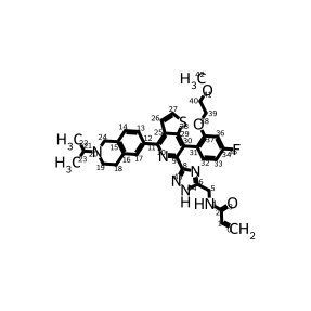 C=CC(=O)NCc1nc(-c2nc(-c3ccc4c(c3)CCN(C(C)C)C4)c3ccsc3c2-c2ccc(F)cc2OCCOC)n[nH]1